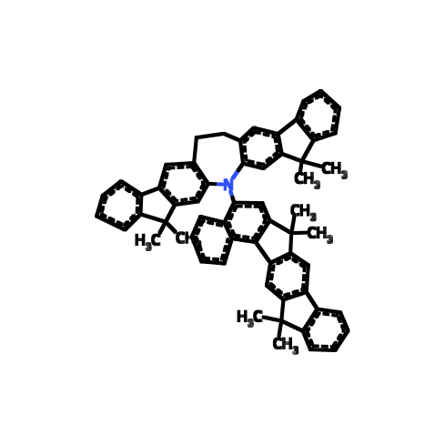 CC1(C)c2ccccc2-c2cc3c(cc21)-c1c(cc(N2c4cc5c(cc4CCc4cc6c(cc42)C(C)(C)c2ccccc2-6)-c2ccccc2C5(C)C)c2ccccc12)C3(C)C